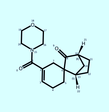 O=C(C1=CCCC2(C1)C(=O)[C@@H]1CC[C@H]2C1)N1CCOCC1